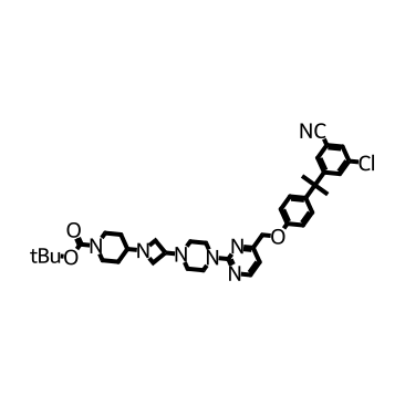 CC(C)(C)OC(=O)N1CCC(N2CC(N3CCN(c4nccc(COc5ccc(C(C)(C)c6cc(Cl)cc(C#N)c6)cc5)n4)CC3)C2)CC1